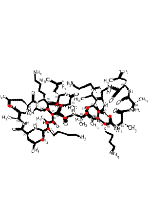 CC(C)C[C@H](NC(=O)[C@H](C)NC(=O)[C@H](CCCCN)NC(=O)[C@H](CC(C)C)NC(=O)[C@H](C)NC(=O)[C@H](CC(C)C)NC(=O)[C@H](CCCCN)NC(=O)[C@H](CC(C)C)NC(=O)[C@H](C)NC(=O)[C@H](CC(C)C)NC(=O)[C@H](CCCCN)NC(=O)[C@@H](N)CS)C(=O)N[C@@H](CCCCN)C(=O)N[C@@H](C)C(=O)N[C@@H](C)C(=O)N[C@@H](CC(C)C)C(=O)N[C@@H](CCCCN)C(=O)N[C@@H](CC(C)C)C(=O)N[C@@H](C)C(N)=O